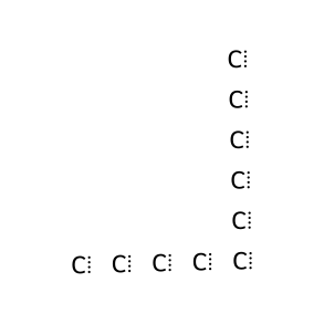 [C].[C].[C].[C].[C].[C].[C].[C].[C].[C]